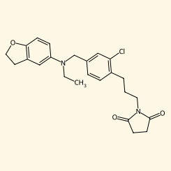 CCN(Cc1ccc(CCCN2C(=O)CCC2=O)c(Cl)c1)c1ccc2c(c1)CCO2